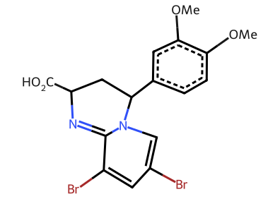 COc1ccc(C2CC(C(=O)O)N=C3C(Br)=CC(Br)=CN32)cc1OC